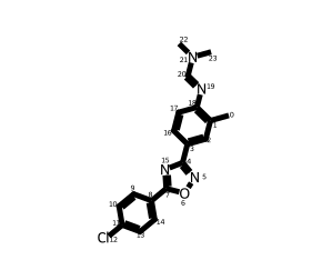 Cc1cc(-c2noc(-c3ccc(Cl)cc3)n2)ccc1/N=C/N(C)C